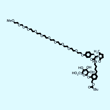 C=C1C=CC(=O)N1[C@@H](Cc1ccc(OCCOCCOCCOCCOCCOCCOCCOCCOCOCOCCOC)cc1)C(=O)NCCCCc1ccc(COC(=O)C(C)(C)C)c(O[C@@H]2O[C@H](C(=O)O)[C@@H](O)[C@H](O)[C@H]2O)c1